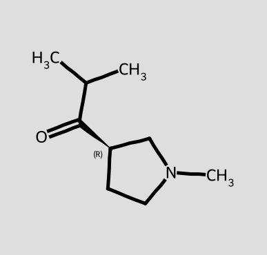 CC(C)C(=O)[C@@H]1CCN(C)C1